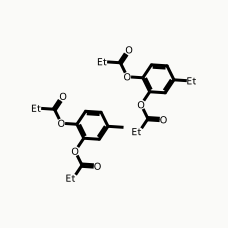 CCC(=O)Oc1ccc(C)cc1OC(=O)CC.CCC(=O)Oc1ccc(CC)cc1OC(=O)CC